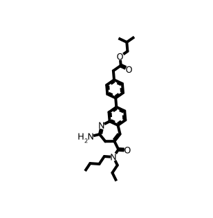 CCCCN(CCC)C(=O)C1=Cc2ccc(-c3ccc(CC(=O)OCC(C)C)cc3)cc2N=C(N)C1